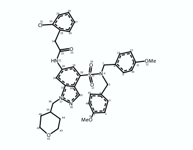 COc1ccc(CN(Cc2ccc(OC)cc2)S(=O)(=O)c2cc(NC(=O)Cc3ccccc3Cl)cc3c2cnn3CC2CCOCC2)cc1